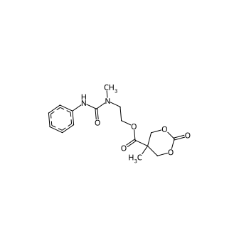 CN(CCOC(=O)C1(C)COC(=O)OC1)C(=O)Nc1ccccc1